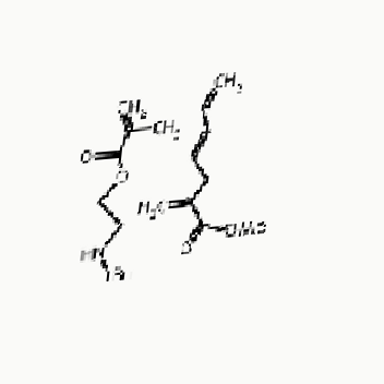 C=C(C)C(=O)OCCNC(C)(C)C.C=CC=CCC(=C)C(=O)OC